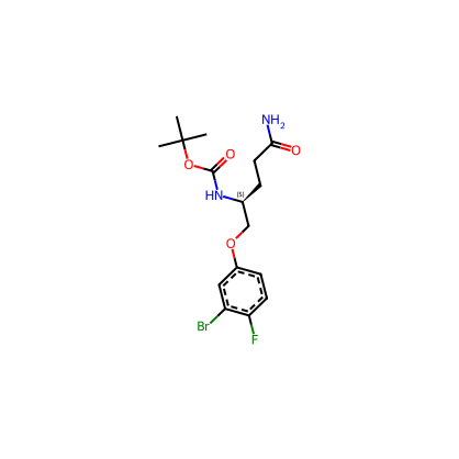 CC(C)(C)OC(=O)N[C@@H](CCC(N)=O)COc1ccc(F)c(Br)c1